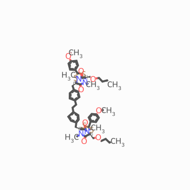 CCCCOC[C@@]12SC(c3ccc(OC)cc3)S[C@@](Cc3ccc(CCc4ccc(C[C@]56SC(c7ccc(OC)cc7)S[C@](COCCCC)(C(=O)N5C)N(C)C6=O)cc4)cc3)(C(=O)N1C)N(C)C2=O